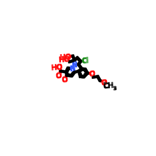 COCCCOc1ccc2c(c1)C1C(Cl)CC(CO)(CO)N1n1cc(C(=O)O)c(=O)cc1-2